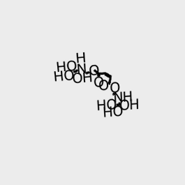 O=C(/C=C\C(=O)OCNC(O)(O)O)OCNC(O)(O)O